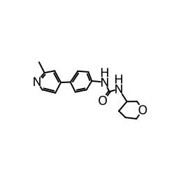 Cc1cc(-c2ccc(NC(=O)NC3CCCOC3)cc2)ccn1